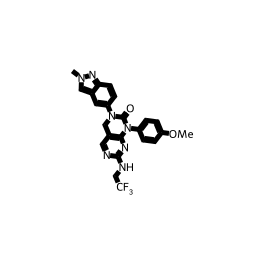 COc1ccc(N2C(=O)N(c3ccc4nn(C)cc4c3)Cc3cnc(NCC(F)(F)F)nc32)cc1